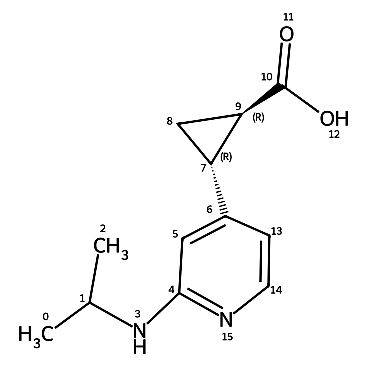 CC(C)Nc1cc([C@@H]2C[C@H]2C(=O)O)ccn1